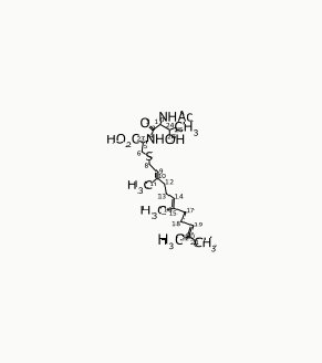 CC(=O)NC(C(=O)NC(CSC/C=C(\C)CC/C=C(\C)CCC=C(C)C)C(=O)O)C(C)O